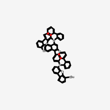 CC(C)(C)c1cccc2c1oc1c(N(c3ccc4c(c3)oc3cc(N(c5ccccc5-c5ccccc5)c5cccc6c5oc5c(C(C)(C)C)cccc56)c5ccccc5c34)c3ccccc3-c3ccccc3)cccc12